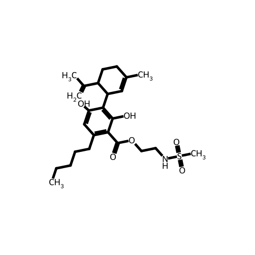 C=C(C)C1CCC(C)=CC1c1c(O)cc(CCCCC)c(C(=O)OCCNS(C)(=O)=O)c1O